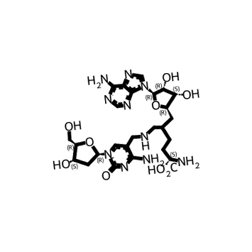 Nc1nc(=O)n([C@H]2C[C@H](O)[C@@H](CO)O2)cc1CNCC(CC[C@H](N)C(=O)O)C[C@H]1O[C@@H](n2cnc3c(N)ncnc32)[C@H](O)[C@@H]1O